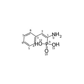 NC(=Cc1ccccc1)P(=O)(O)O